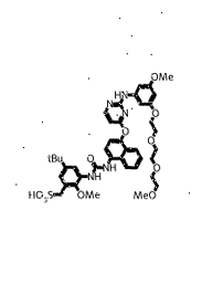 COCCOCCOCCOc1cc(Nc2nccc(Oc3ccc(NC(=O)Nc4cc(C(C)(C)C)cc(CS(=O)(=O)O)c4OC)c4ccccc34)n2)cc(OC)c1